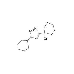 OC1(c2cn(C3CCCCC3)nn2)CCCCC1